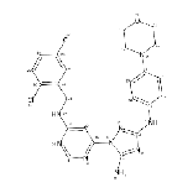 Nc1nc(Nc2ccc(N3CCOCC3)cc2)nn1-c1cc(NCc2cc(Cl)ccc2Cl)ncn1